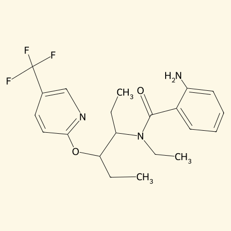 CCC(Oc1ccc(C(F)(F)F)cn1)C(CC)N(CC)C(=O)c1ccccc1N